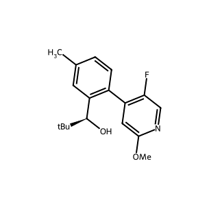 COc1cc(-c2ccc(C)cc2[C@@H](O)C(C)(C)C)c(F)cn1